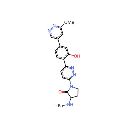 COc1cc(-c2ccc(-c3ccc(N4CCC(NC(C)(C)C)C4=O)nn3)c(O)c2)cnn1